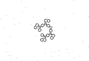 c1ccc(N(c2ccc(N(c3ccc(Oc4ccc(N(c5ccc(N(c6ccccc6)c6cccc7ccccc67)cc5)c5cccc6ccccc56)cc4)cc3)c3cccc4ccccc34)cc2)c2cccc3ccccc23)cc1